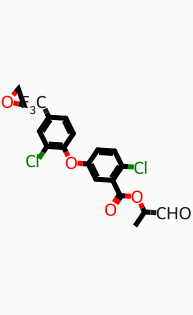 C1CO1.CC(C=O)OC(=O)c1cc(Oc2ccc(C(F)(F)F)cc2Cl)ccc1Cl